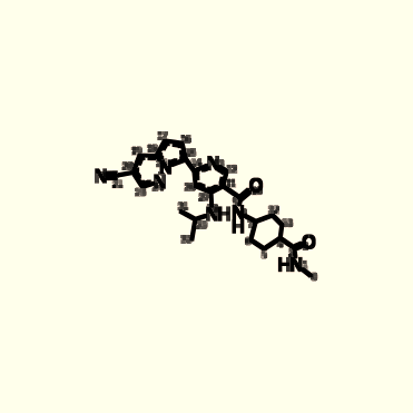 CNC(=O)C1CCC(NC(=O)c2cnc(-c3ccc4cc(C#N)cnn34)cc2NC(C)C)CC1